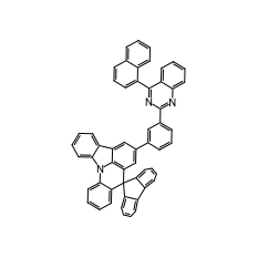 c1cc(-c2cc3c4c(c2)c2ccccc2n4-c2ccccc2C32c3ccccc3-c3ccccc32)cc(-c2nc(-c3cccc4ccccc34)c3ccccc3n2)c1